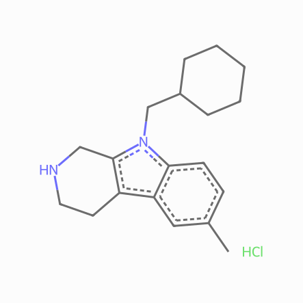 Cc1ccc2c(c1)c1c(n2CC2CCCCC2)CNCC1.Cl